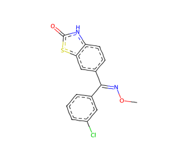 CON=C(c1cccc(Cl)c1)c1ccc2[nH]c(=O)sc2c1